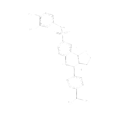 Cc1ccc(NS(=O)(=O)c2ccc3c(c2)[C@H]2OCC[C@H]2C(c2ccc(C(C)C)cc2)N3)cc1C